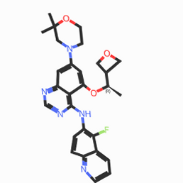 C[C@@H](Oc1cc(N2CCOC(C)(C)C2)cc2ncnc(Nc3ccc4ncccc4c3F)c12)C1COC1